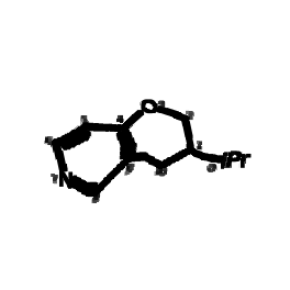 CC(C)C1COc2ccncc2C1